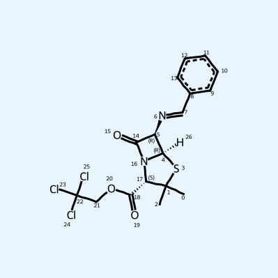 CC1(C)S[C@@H]2[C@H](N=Cc3ccccc3)C(=O)N2[C@H]1C(=O)OCC(Cl)(Cl)Cl